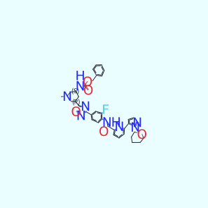 CN1C[C@@H](NC(=O)OCc2ccccc2)C[C@@H](c2nc(-c3ccc(NC(=O)c4cccc(-c5ccnn5C5CCCCO5)n4)c(F)c3)no2)C1